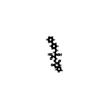 O=C(O)C(CCN1C(=O)CC2(CCCC2)CC1=O)C(O)CCc1ccc(-c2ccccc2)cc1